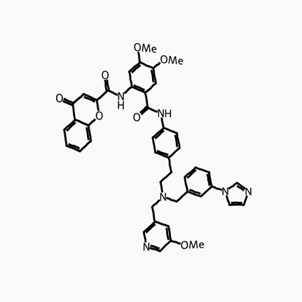 COc1cncc(CN(CCc2ccc(NC(=O)c3cc(OC)c(OC)cc3NC(=O)c3cc(=O)c4ccccc4o3)cc2)Cc2cccc(-n3ccnc3)c2)c1